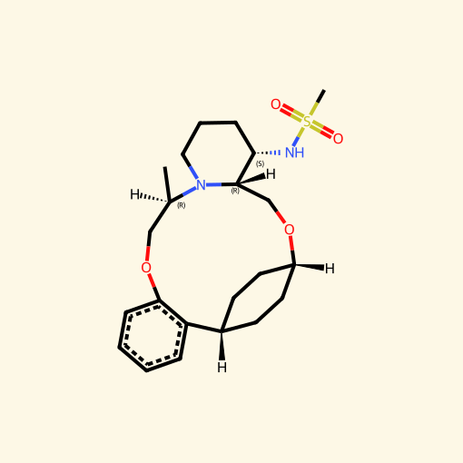 C[C@@H]1COc2ccccc2[C@H]2CC[C@H](CC2)OC[C@H]2[C@@H](NS(C)(=O)=O)CCCN12